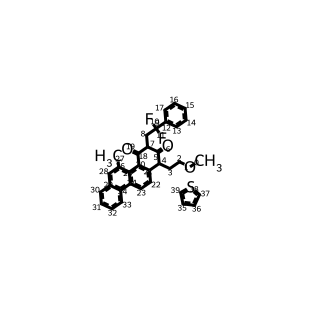 COCCC1C(=O)C(CC(F)(F)c2ccccc2)C(=O)c2c1ccc1c2c(C)cc2ccccc21.c1ccsc1